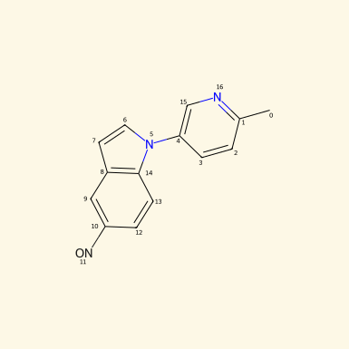 Cc1ccc(-n2ccc3cc(N=O)ccc32)cn1